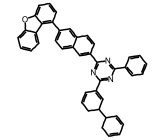 C1=CCC(C2C=C(c3nc(-c4ccccc4)nc(-c4ccc5cc(-c6cccc7oc8ccccc8c67)ccc5c4)n3)C=CC2)C=C1